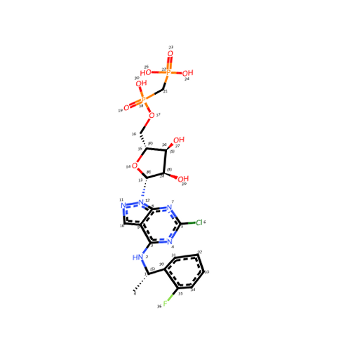 C[C@H](Nc1nc(Cl)nc2c1cnn2[C@@H]1O[C@H](COP(=O)(O)CP(=O)(O)O)[C@@H](O)[C@H]1O)c1ccccc1F